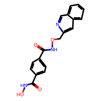 O=C(NO)c1ccc(C(=O)NOCc2cc3ccccc3cn2)cc1